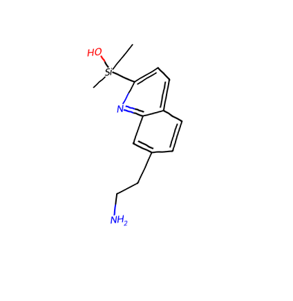 C[Si](C)(O)c1ccc2ccc(CCN)cc2n1